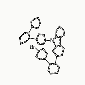 Brc1ccc(-c2ccccc2-c2ccc3c4ccccc4n(-c4ccc(-c5ccccc5-c5ccccc5)cc4)c3c2)cc1